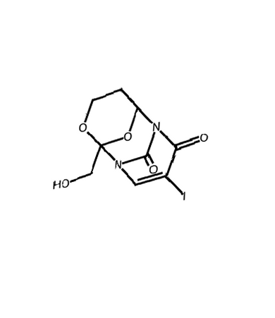 O=c1c(I)cn2c(=O)n1C1CCOC2(CO)O1